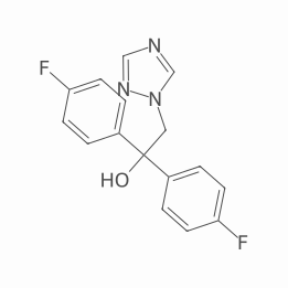 OC(Cn1cncn1)(c1ccc(F)cc1)c1ccc(F)cc1